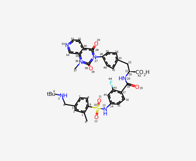 Cc1cc(CNC(C)(C)C)ccc1S(=O)(=O)Nc1ccc(C(=O)N[C@@H](Cc2ccc(-n3c(=O)c4ccncc4n(C)c3=O)cc2)C(=O)O)c(F)c1